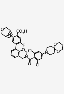 O=C(O)c1cc(F)c(-c2cccc3c2OCN(C(=O)c2c(Cl)cc(N4CCC5(CC4)OCCCO5)cc2Cl)C3)cc1N1C2CCC1COC2